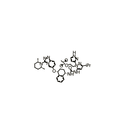 CC(C)C1=N[N+](CCOS(C)(=O)=O)(c2cc[nH]n2)C(NC(=O)N[C@H]2CC[C@@H](Oc3ccc4nnc(N5[C@H](C)CCC[C@@H]5C)n4c3)c3ccccc32)=C1